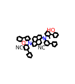 CC1=C(N(c2cc(C#N)cc(-c3ccccc3)c2)c2ccc3ccc4c(N(c5cc(C#N)cc(-c6ccccc6)c5)c5cccc6c5oc5ccccc56)ccc5ccc2c3c54)C=CCC1c1ccccc1O